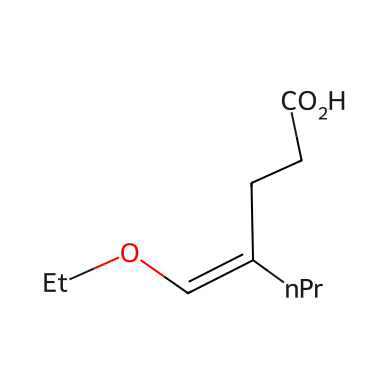 CCC/C(=C/OCC)CCC(=O)O